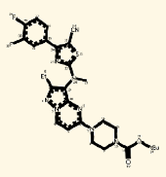 CCc1nn2ccc(N3CCN(C(=O)OC(C)(C)C)CC3)nc2c1N(C)c1nc(-c2ccc(F)c(F)c2)c(C#N)s1